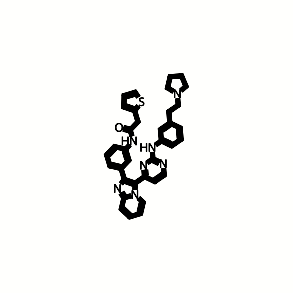 O=C(Cc1cccs1)Nc1cccc(-c2nc3ccccn3c2-c2ccnc(Nc3cccc(CCN4CCCC4)c3)n2)c1